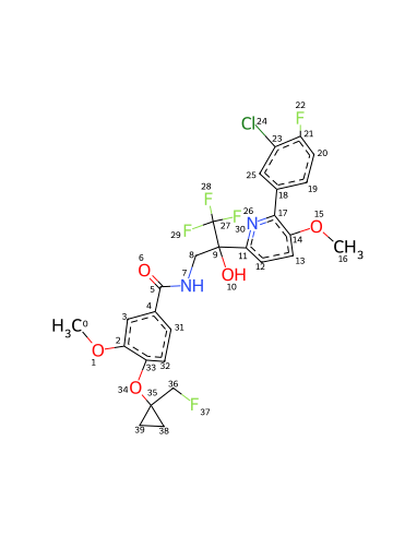 COc1cc(C(=O)NCC(O)(c2ccc(OC)c(-c3ccc(F)c(Cl)c3)n2)C(F)(F)F)ccc1OC1(CF)CC1